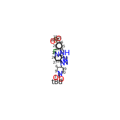 CC(C)(C)OC(=O)N1CCC(n2nnc3c(Nc4ccc(S(C)(=O)=O)cc4F)nccc32)CC1